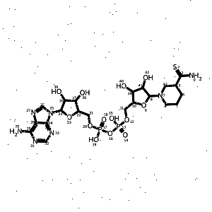 NC(=S)C1CCCN(C2OC(COP(=O)(O)OP(=O)(O)OCC3OC(n4cnc5c(N)ncnc54)C(O)C3O)C(O)C2O)C1